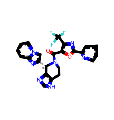 O=C(c1oc(-c2ccccn2)nc1C(F)(F)F)N1CCc2[nH]cnc2[C@@H]1c1cn2ccccc2n1